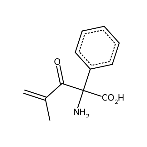 C=C(C)C(=O)C(N)(C(=O)O)c1ccccc1